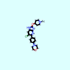 CC(=O)N1CCC(Oc2nc3nc(-c4ccc(N5CCOCC5)cc4)c(Cl)cc3[nH]2)CC1